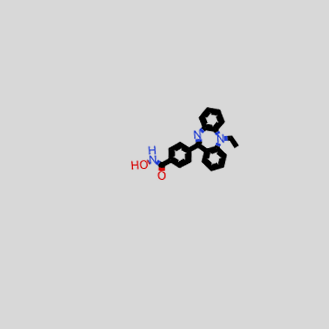 CCN1c2ccccc2N=C(c2ccc(C(=O)NO)cc2)c2ccccc21